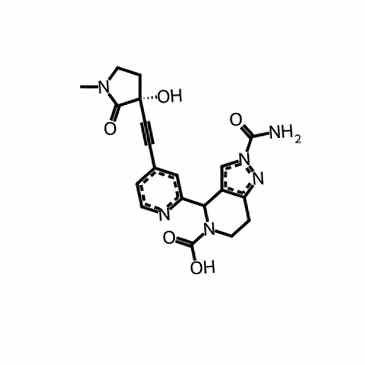 CN1CC[C@@](O)(C#Cc2ccnc(C3c4cn(C(N)=O)nc4CCN3C(=O)O)c2)C1=O